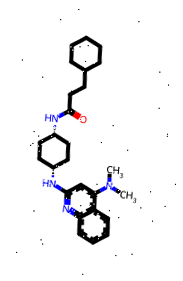 CN(C)c1cc(N[C@H]2CC[C@@H](NC(=O)CCC3CCCCC3)CC2)nc2ccccc12